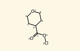 O=C(OCl)C1CCOCC1